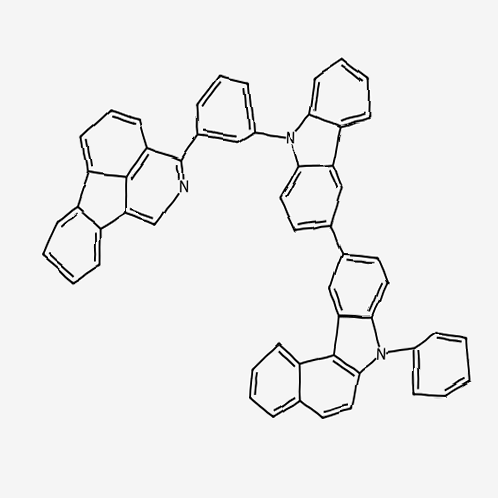 c1ccc(-n2c3ccc(-c4ccc5c(c4)c4ccccc4n5-c4cccc(-c5ncc6c7c(cccc57)-c5ccccc5-6)c4)cc3c3c4ccccc4ccc32)cc1